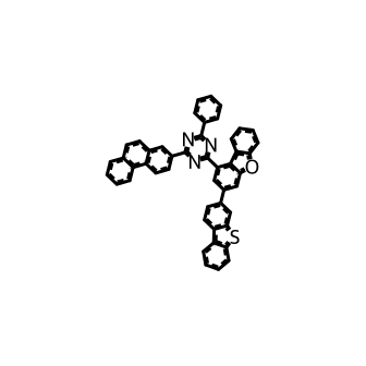 c1ccc(-c2nc(-c3ccc4c(ccc5ccccc54)c3)nc(-c3cc(-c4ccc5c(c4)sc4ccccc45)cc4oc5ccccc5c34)n2)cc1